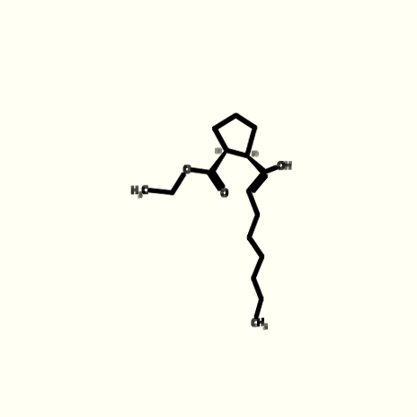 CCCCCCC=C(O)[C@@H]1CCC[C@@H]1C(=O)OCC